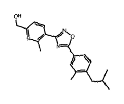 Cc1cc(-c2nc(-c3ccc(CO)nc3C)no2)ccc1CC(C)C